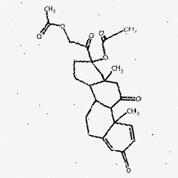 CC(=O)OCC(=O)C1(OC(C)=O)CCC2C3CCC4=CC(=O)C=CC4(C)C3C(=O)CC21C